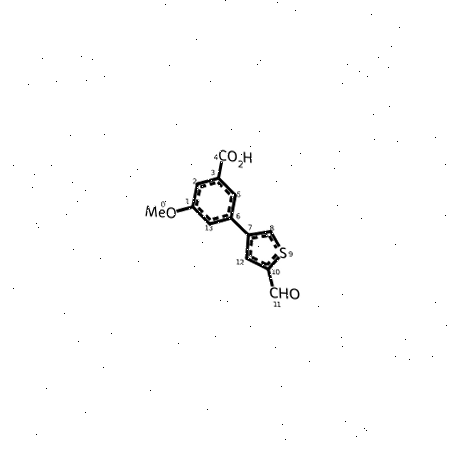 COc1cc(C(=O)O)cc(-c2csc(C=O)c2)c1